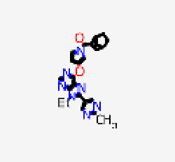 CCn1c(-c2cnc(C)nc2)nc2c(Oc3ccn(C(=O)C4CC5CCC4C5)c3)ncnc21